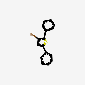 Brc1cc(-c2ccccc2)sc1-c1ccccc1